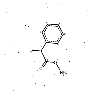 C[C@H](C(=O)ON)c1ccccc1